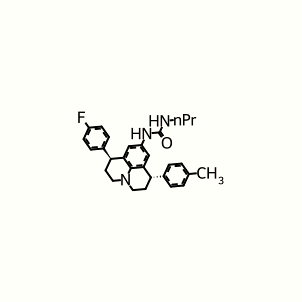 CCCNC(=O)Nc1cc2c3c(c1)[C@H](c1ccc(F)cc1)CCN3CC[C@H]2c1ccc(C)cc1